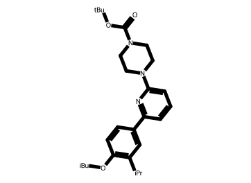 CCC(C)Oc1ccc(-c2cccc(N3CCN(C(=O)OC(C)(C)C)CC3)n2)cc1C(C)C